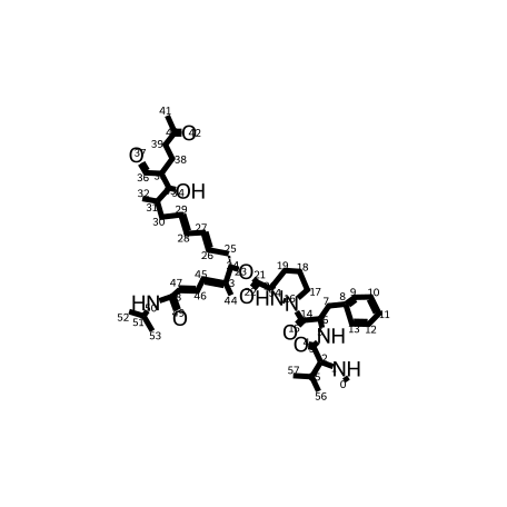 CNC(C(=O)NC(Cc1ccccc1)C(=O)N1CCCC(C(=O)O[C@@H](C/C=C/C=C/CC(C)C(O)C(C=O)CCC(C)=O)/C(C)=C/C=C/C(=O)NC(C)C)N1)C(C)C